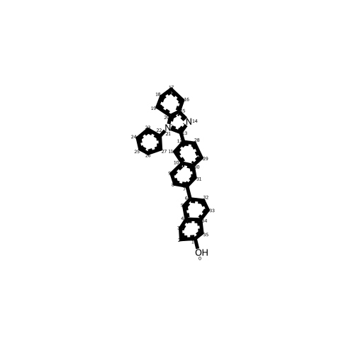 Oc1ccc2cc(-c3ccc4cc(-c5nc6ccccc6n5-c5ccccc5)ccc4c3)ccc2c1